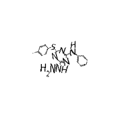 Cc1ccc(Sc2nc(NN)nc(Nc3ccccc3)n2)cc1